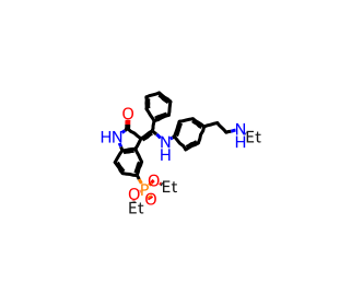 CCNCCc1ccc(NC(=C2C(=O)Nc3ccc(P(=O)(OCC)OCC)cc32)c2ccccc2)cc1